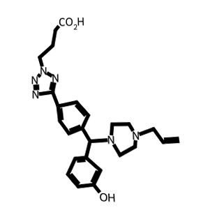 C=CCN1CCN(C(c2ccc(-c3nnn(CCCC(=O)O)n3)cc2)c2cccc(O)c2)CC1